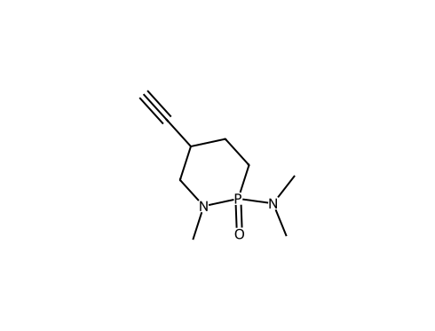 C#CC1CCP(=O)(N(C)C)N(C)C1